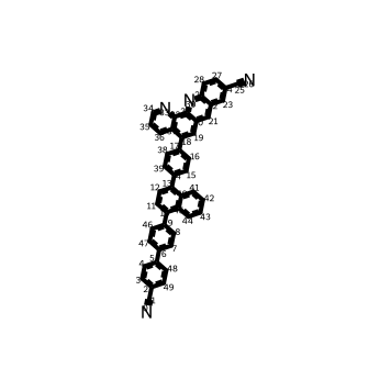 N#Cc1ccc(-c2ccc(-c3ccc(-c4ccc(-c5cc6cc7cc(C#N)ccc7nc6c6ncccc56)cc4)c4ccccc34)cc2)cc1